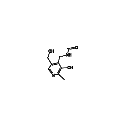 Cc1ncc(CO)c(CN[C]=O)c1O